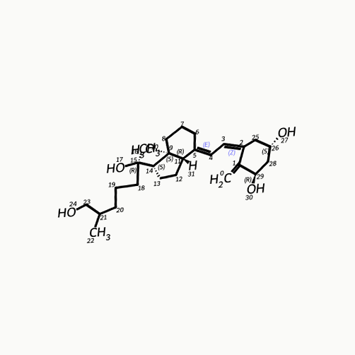 C=C1/C(=C\C=C2/CCC[C@@]3(C)[C@H]2CC[C@@H]3[C@](C)(O)CCCC(C)CO)C[C@H](O)C[C@H]1O